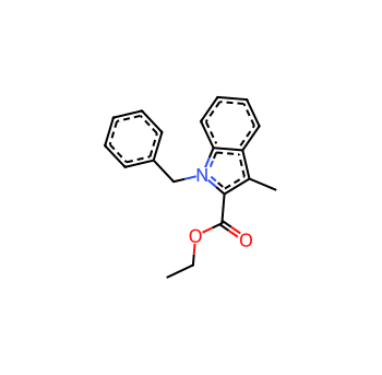 CCOC(=O)c1c(C)c2ccccc2n1Cc1ccccc1